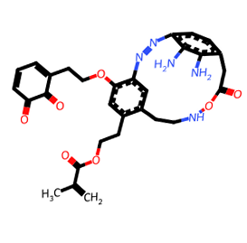 C=C(C)C(=O)OCCc1cc(OCCC2=CC=CC(=O)C2=O)c2cc1CCNOC(=O)Cc1ccc(c(N)c1N)/N=N\2